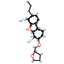 CCCc1ccc2c(oc3c(F)c(OCC4CCCO4)ccc32)c1F